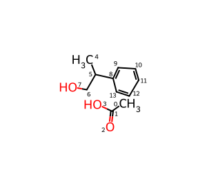 CC(=O)O.CC(CO)c1ccccc1